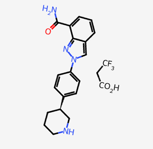 NC(=O)c1cccc2cn(-c3ccc([C@@H]4CCCNC4)cc3)nc12.O=C(O)CC(F)(F)F